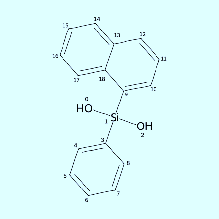 O[Si](O)(c1ccccc1)c1cccc2ccccc12